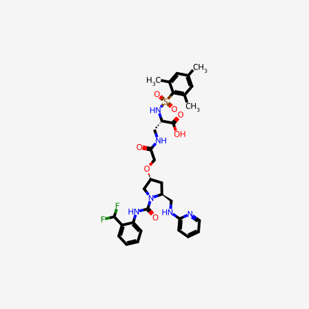 Cc1cc(C)c(S(=O)(=O)N[C@@H](CNC(=O)CO[C@@H]2C[C@@H](CNc3ccccn3)N(C(=O)Nc3ccccc3C(F)F)C2)C(=O)O)c(C)c1